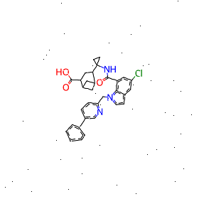 O=C(NC1(C2CC(C(=O)O)C3CC2C3)CC1)c1cc(Cl)cc2ccn(Cc3ccc(-c4ccccc4)cn3)c12